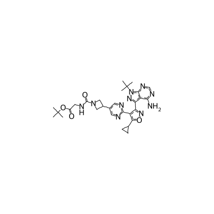 CC(C)(C)OC(=O)CNC(=O)N1CC(c2cnc(-c3c(-c4nn(C(C)(C)C)c5ncnc(N)c45)noc3C3CC3)nc2)C1